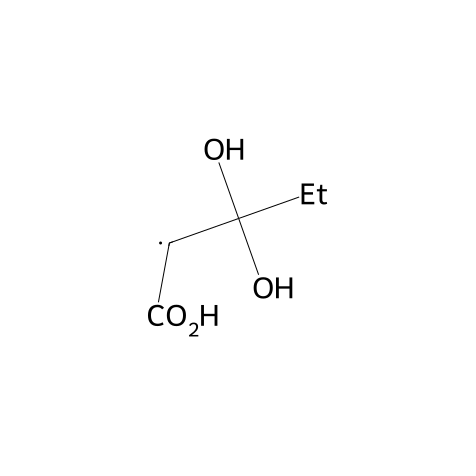 CCC(O)(O)[CH]C(=O)O